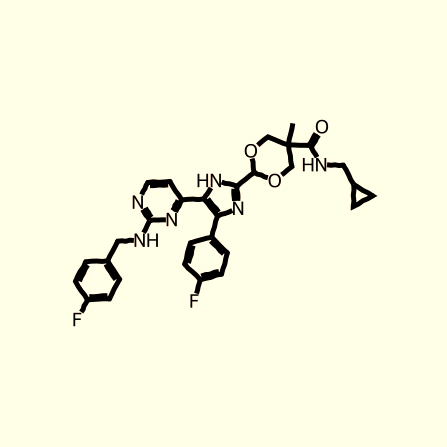 CC1(C(=O)NCC2CC2)COC(c2nc(-c3ccc(F)cc3)c(-c3ccnc(NCc4ccc(F)cc4)n3)[nH]2)OC1